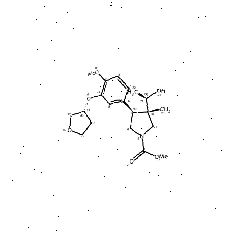 COC(=O)N1C[C@@H](c2ccc(OC)c(O[C@@H]3CCOC3)c2)[C@](C)([C@@H](C)O)C1